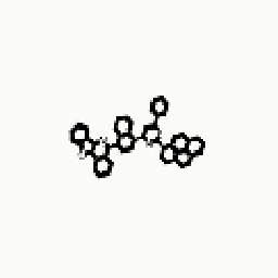 c1ccc(-c2cc(-c3ccc(-c4nc5c6ccccc6oc5c5ccccc45)c4ccccc34)nc(-c3ccc4ccc5cccc6ccc3c4c56)n2)cc1